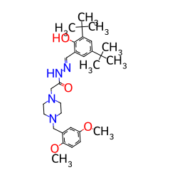 COc1ccc(OC)c(CN2CCN(CC(=O)NN=Cc3cc(C(C)(C)C)cc(C(C)(C)C)c3O)CC2)c1